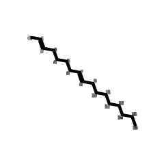 [CH2]/C=C/CCCC/C=C/CCCCCCCC